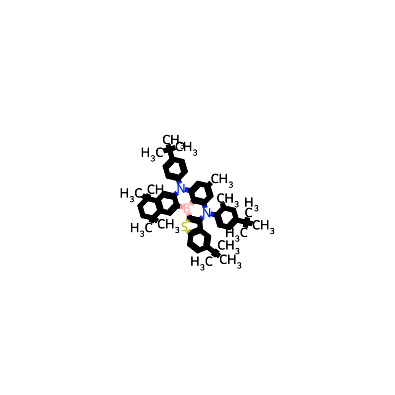 Cc1cc2c3c(c1)N(c1ccc(C(C)(C)C)cc1)c1cc4c(cc1B3c1sc3ccc(C(C)(C)C)cc3c1N2C1=CC=C(C(C)(C)C)CC1C)C(C)(C)CCC4(C)C